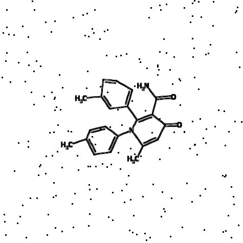 Cc1ccc(-n2c(C)cc(=O)c(C(N)=O)c2-c2cccc(C)c2)cc1